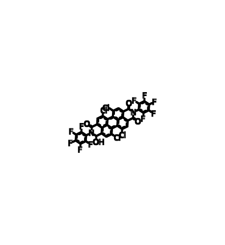 O=C1c2cc(Cl)c3c4c(Cl)cc5c6c(cc(Cl)c(c7c(Cl)cc(c2c37)C(=O)N1c1c(F)c(F)c(F)c(F)c1F)c64)C(O)N(c1c(F)c(F)c(F)c(F)c1F)C5=O